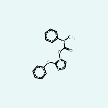 CN(C(=O)On1ccnc1Sc1ccccc1)c1ccccc1